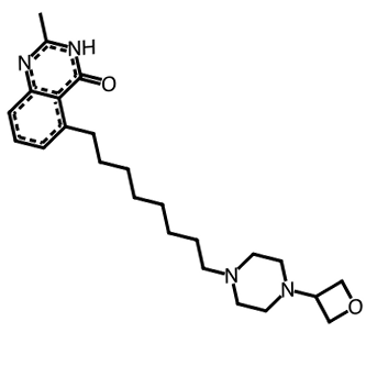 Cc1nc2cccc(CCCCCCCCN3CCN(C4COC4)CC3)c2c(=O)[nH]1